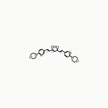 O=C(/C=C(O)/C=C/c1ccc(N2CCOCC2)nc1)/C=C/c1ccc(N2CCOCC2)nc1